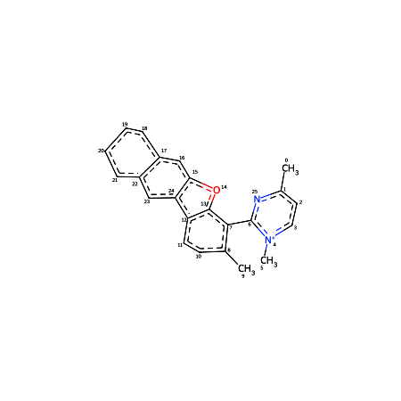 Cc1cc[n+](C)c(-c2c(C)ccc3c2oc2cc4ccccc4cc23)n1